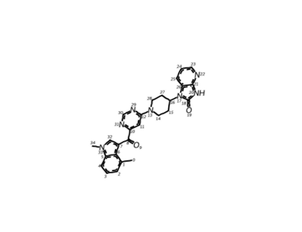 Cc1cccc2c1c(C(=O)c1cc(N3CCC(n4c(=O)[nH]c5ncccc54)CC3)ncn1)cn2C